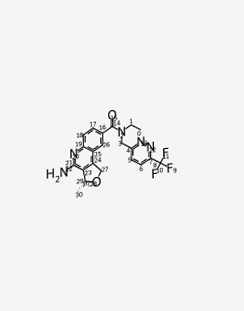 CCN(Cc1ccc(C(F)(F)F)nn1)C(=O)c1ccc2nc(N)c3c(c2c1)CO[C@@H]3C